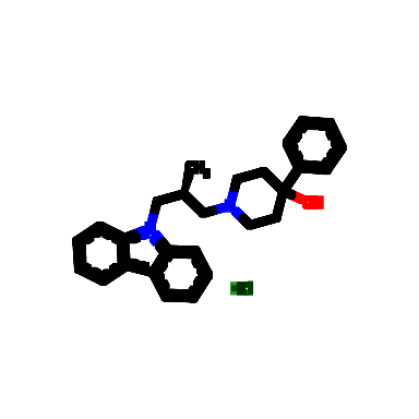 C[C@@H](CN1CCC(O)(c2ccccc2)CC1)Cn1c2ccccc2c2ccccc21.Cl